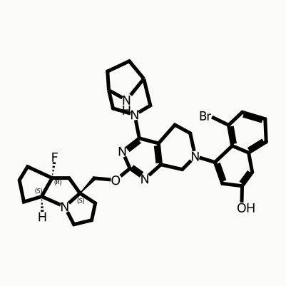 Oc1cc(N2CCc3c(nc(OC[C@@]45CCCN4[C@H]4CCC[C@@]4(F)C5)nc3N3CC4CCC(C3)N4)C2)c2c(Br)cccc2c1